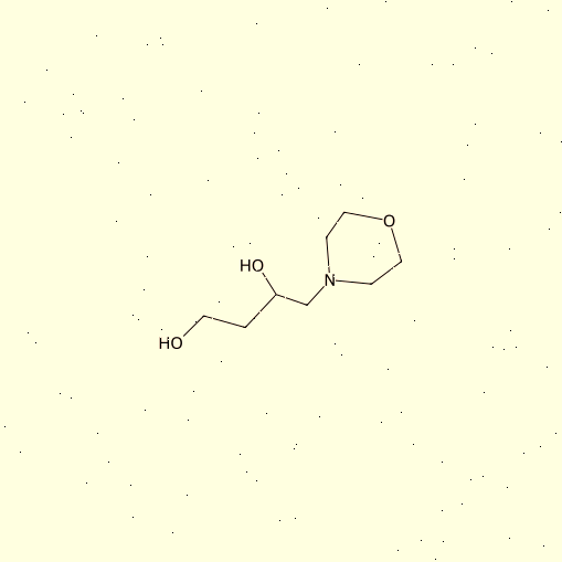 OCCC(O)CN1CCOCC1